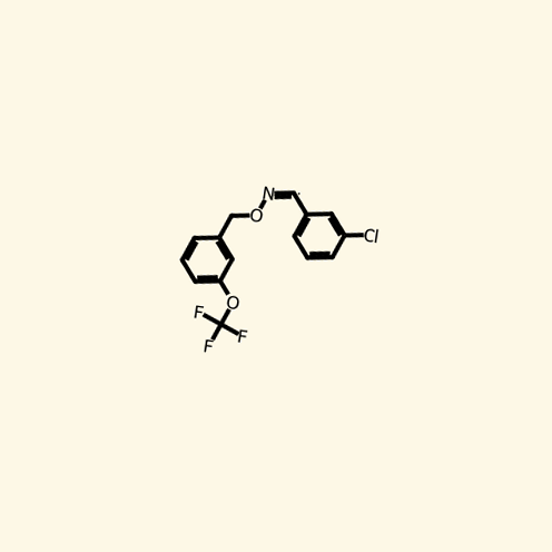 FC(F)(F)Oc1cccc(CO/N=[C]\c2cccc(Cl)c2)c1